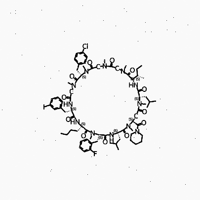 CCCC[C@@H]1NC(=O)[C@H](Cc2cccc(I)c2)NC(=O)CN(C)C(=O)[C@H](Cc2ccc(Cl)cc2)N(C)C(=O)CN(C)C(=O)CN(C)C(=O)[C@H]([C@@H](C)CC)NC(=O)[C@H](CC(C)C)N(C)C(=O)C[C@@H](C(=O)N2CCCCC2)N(C)C(=O)[C@H](CC(C)C)NC(=O)[C@H](Cc2ccccc2F)N(C)C1=O